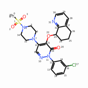 CC(C)S(=O)(=O)N1CCN(c2cnn(-c3cccc(Cl)c3)c(=O)c2OC2CCCc3cccnc32)CC1